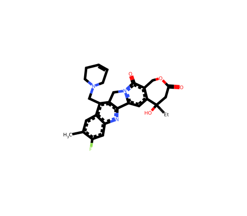 CCC1(O)CC(=O)OCc2c1cc1n(c2=O)Cc2c-1nc1cc(F)c(C)cc1c2CN1CC=CCC1